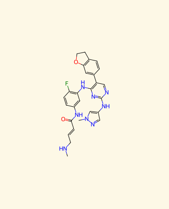 CNC/C=C/C(=O)Nc1ccc(F)c(Nc2nc(Nc3cnn(C)c3)ncc2-c2ccc3c(c2)OCC3)c1